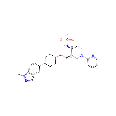 Cn1ncc2cc(C3CCC(OC[C@@H]4CN(c5ccccn5)CC[C@@H]4NS(C)(=O)=O)CC3)ccc21